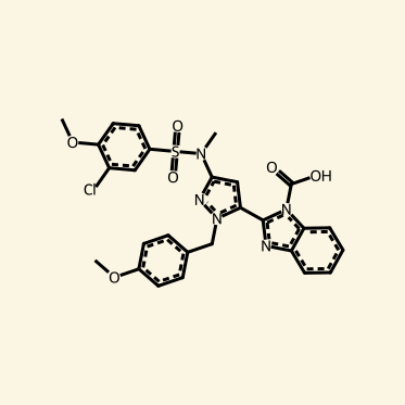 COc1ccc(Cn2nc(N(C)S(=O)(=O)c3ccc(OC)c(Cl)c3)cc2-c2nc3ccccc3n2C(=O)O)cc1